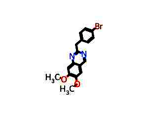 COc1cc2cnc(Cc3ccc(Br)cc3)nc2cc1OC